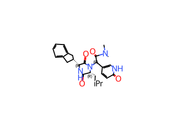 CC(C)C[C@@H]1C(=O)N[C@H](C2Cc3ccccc3C2)C(=O)N1[C@@H](C(=O)N(C)C)c1ccc(=O)[nH]c1